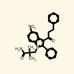 CC(C)(Cn1c(-c2ccccc2)c(C(=O)CCc2ccccc2)c2cc([N+](=O)[O-])ccc21)C(N)=O